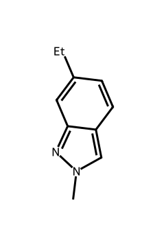 CCc1ccc2cn(C)nc2c1